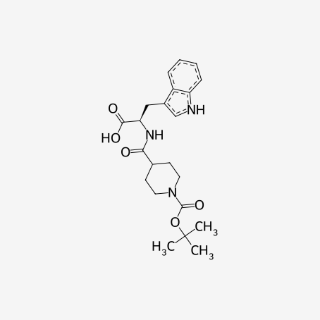 CC(C)(C)OC(=O)N1CCC(C(=O)N[C@H](Cc2c[nH]c3ccccc23)C(=O)O)CC1